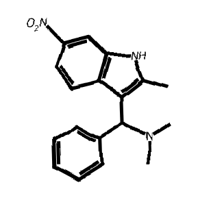 Cc1[nH]c2cc([N+](=O)[O-])ccc2c1C(c1ccccc1)N(C)C